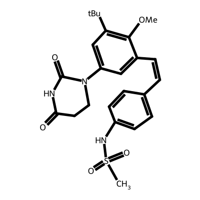 COc1c(/C=C\c2ccc(NS(C)(=O)=O)cc2)cc(N2CCC(=O)NC2=O)cc1C(C)(C)C